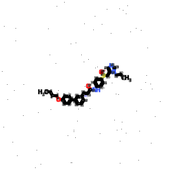 CCCCOc1ccc(-c2cccc(/C=C/C(=O)Nc3ccc([S+]([O-])Cc4cncn4CCC)cc3)c2)cc1